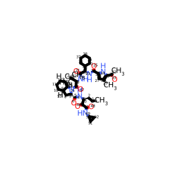 CCC[C@H](NC(=O)[C@@H]1C[C@@H]2CCCC[C@@H]2N1C(=O)[C@@H](NC(=O)[C@@H](NC(=O)c1cc(C)c(C(C)=O)[nH]1)C1CCCCC1)C(C)(C)C)C(=O)C(=O)NC1CC1